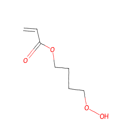 C=CC(=O)OCCCCOO